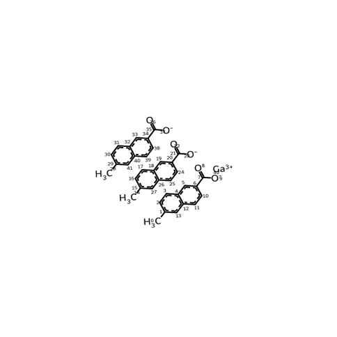 Cc1ccc2cc(C(=O)[O-])ccc2c1.Cc1ccc2cc(C(=O)[O-])ccc2c1.Cc1ccc2cc(C(=O)[O-])ccc2c1.[Ga+3]